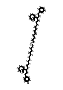 c1ccc(CCC(CCCCCCCCCCCSCCCCCCCCCCCC(CCc2ccccc2)C2CCCCO2)C2CCCCO2)cc1